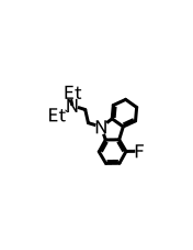 CCN(CC)CCn1c2c(c3c(F)cccc31)=CCCC=2